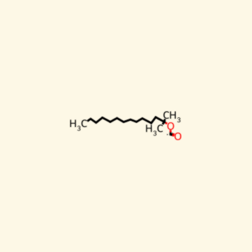 CCCCCCCCCCCCC(C)(C)O[C]=O